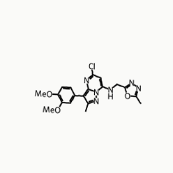 COc1ccc(-c2c(C)nn3c(NCc4nnc(C)o4)cc(Cl)nc23)cc1OC